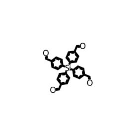 O=Cc1ccc([Si](c2ccc(C=O)cc2)(c2ccc(C=O)cc2)c2ccc(C=O)cc2)cc1